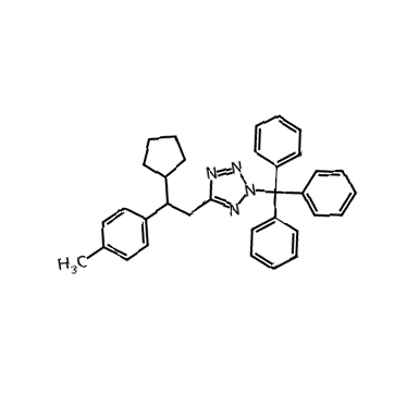 Cc1ccc(C(Cc2nnn(C(c3ccccc3)(c3ccccc3)c3ccccc3)n2)C2CCCC2)cc1